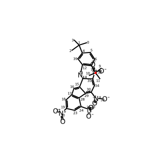 CC(C)(C)c1ccc(C(C)(C)C)c(N=C2C3=Cc4cc([N+](=O)[O-])cc([N+](=O)[O-])c4C3=C([N+](=O)[O-])C=C2[N+](=O)[O-])c1